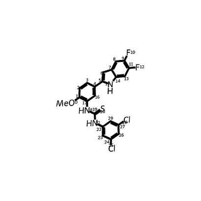 COc1ccc(-c2cc3cc(F)c(F)cc3[nH]2)cc1NC(=S)Nc1cc(Cl)cc(Cl)c1